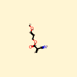 C=C(C#N)C(=O)OCC=COC